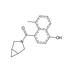 Cc1cccc2c(O)ccc(C(=O)N3CC4CC4C3)c12